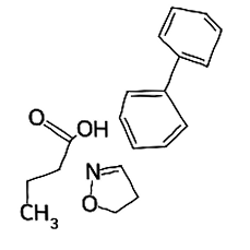 C1=NOCC1.CCCC(=O)O.c1ccc(-c2ccccc2)cc1